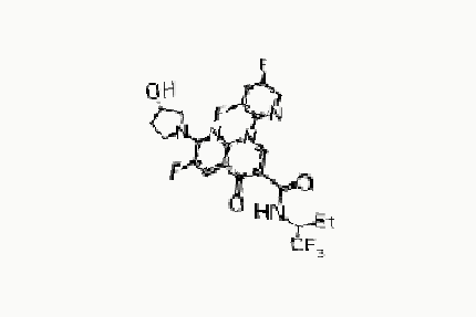 CC[C@H](NC(=O)c1cn(-c2ncc(F)cc2F)c2nc(N3CC[C@H](O)C3)c(F)cc2c1=O)C(F)(F)F